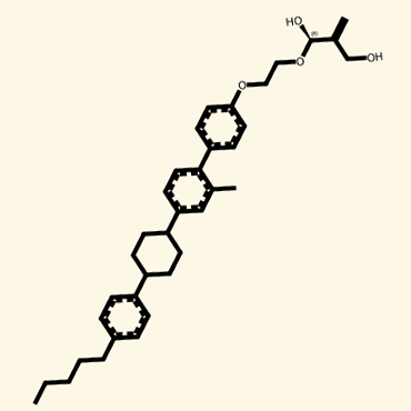 C=C(CO)[C@H](O)OCCOc1ccc(-c2ccc(C3CCC(c4ccc(CCCCC)cc4)CC3)cc2C)cc1